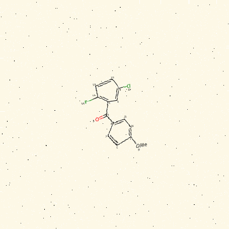 COc1ccc(C(=O)c2cc(Cl)ccc2F)cc1